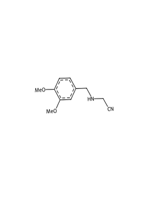 COc1ccc(CNCC#N)cc1OC